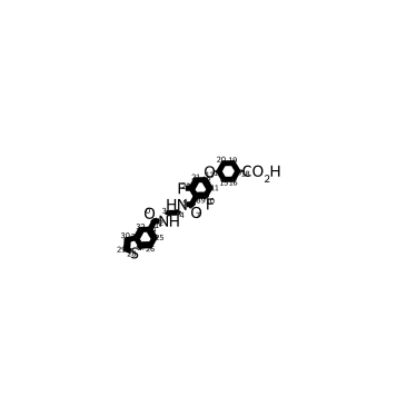 O=C(NCCNC(=O)c1c(F)cc(O[C@H]2CC[C@@H](C(=O)O)CC2)cc1F)c1ccc2sccc2c1